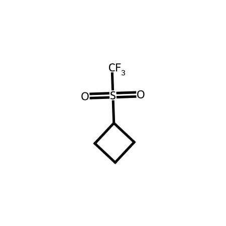 O=S(=O)(C1CCC1)C(F)(F)F